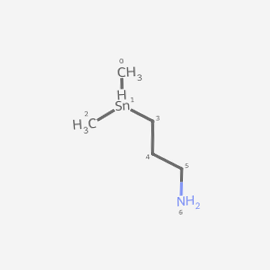 [CH3][SnH]([CH3])[CH2]CCN